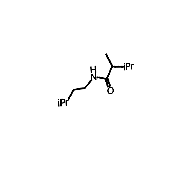 CC(C)CCNC(=O)C(C)C(C)C